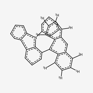 [2H]c1c([2H])c([2H])c2c(-c3cccc4c5ccccc5n(-c5ccccc5)c34)c3c([2H])c([2H])c([2H])c([2H])c3cc2c1[2H]